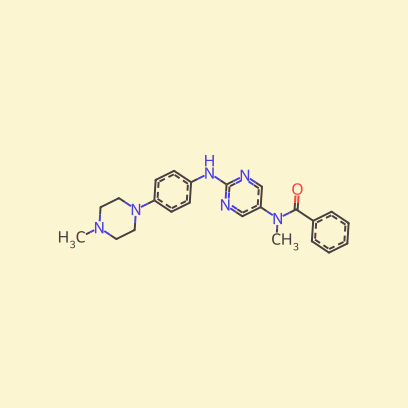 CN1CCN(c2ccc(Nc3ncc(N(C)C(=O)c4ccccc4)cn3)cc2)CC1